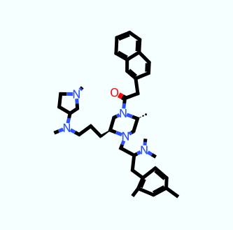 Cc1ccc(CC(CN2C[C@@H](C)N(C(=O)Cc3ccc4ccccc4c3)C[C@@H]2CCCN(C)C2CCN(C)C2)N(C)C)c(C)c1